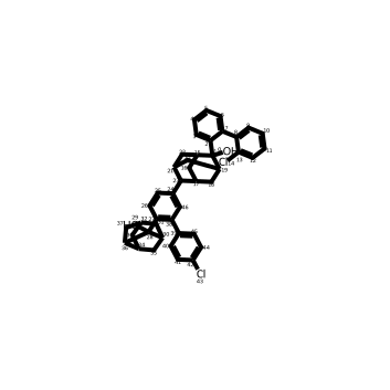 OC1(c2ccccc2-c2ccccc2Cl)C2CC3CC1CC(C2)C3c1ccc(C2(O)C3CC4CC(C3)C2C4)c(-c2ccc(Cl)cc2)c1